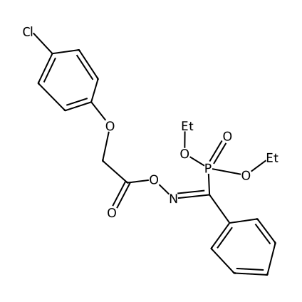 CCOP(=O)(OCC)C(=NOC(=O)COc1ccc(Cl)cc1)c1ccccc1